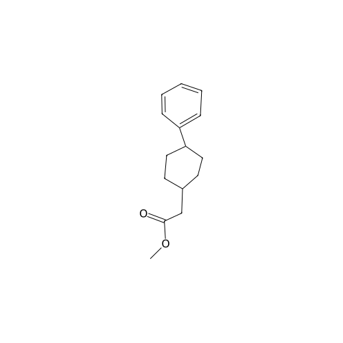 COC(=O)CC1CCC(c2ccccc2)CC1